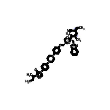 C=C(/C(C)=C\C(C#N)=C/C)[C@]1(Cn2nc3ccccc3n2)OC[C@@H](COc2ccc(N3CCN(c4ccc(-n5cnn(C(C)CC)c5=O)cc4)CC3)cc2)O1